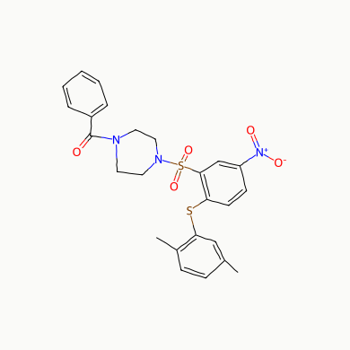 Cc1ccc(C)c(Sc2ccc([N+](=O)[O-])cc2S(=O)(=O)N2CCN(C(=O)c3ccccc3)CC2)c1